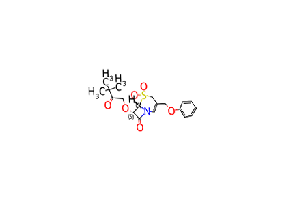 CC(C)(C)C(=O)CO[C@H]1C(=O)N2C=C(COc3ccccc3)CS(=O)(=O)[C@@H]12